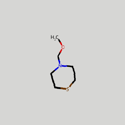 COCN1CCSCC1